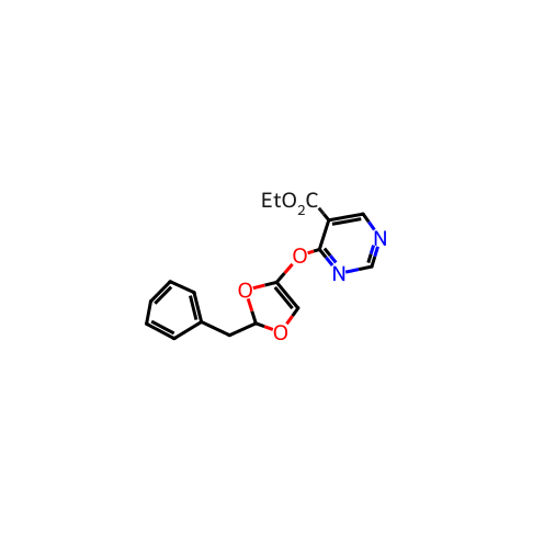 CCOC(=O)c1cncnc1OC1=COC(Cc2ccccc2)O1